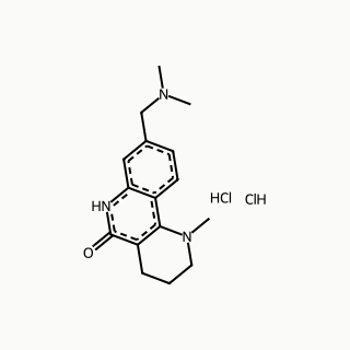 CN(C)Cc1ccc2c3c(c(=O)[nH]c2c1)CCCN3C.Cl.Cl